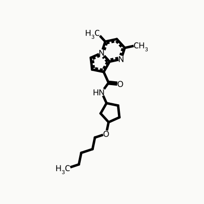 CCCCCOC1CCC(NC(=O)c2ccn3c(C)cc(C)nc23)C1